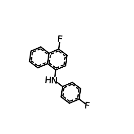 Fc1ccc(Nc2ccc(F)c3ccccc23)cc1